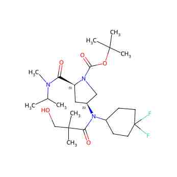 CC(C)N(C)C(=O)[C@@H]1C[C@H](N(C(=O)C(C)(C)CO)C2CCC(F)(F)CC2)CN1C(=O)OC(C)(C)C